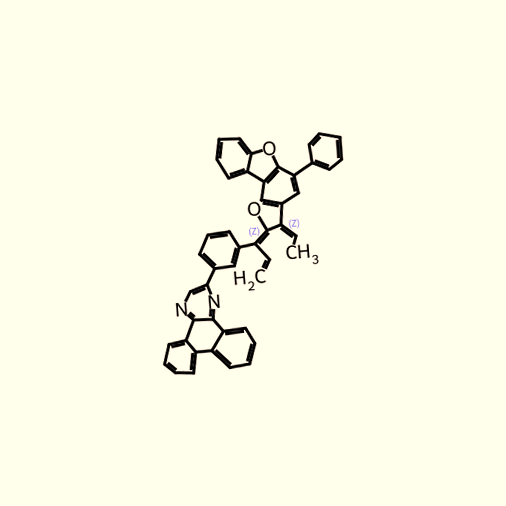 C=C/C(c1cccc(-c2cnc3c4ccccc4c4ccccc4c3n2)c1)=c1/oc2c(cc(-c3ccccc3)c3oc4ccccc4c32)/c1=C/C